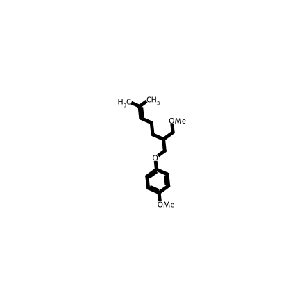 COC[C](CCC=C(C)C)COc1ccc(OC)cc1